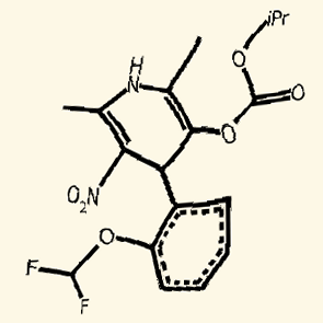 CC1=C(OC(=O)OC(C)C)C(c2ccccc2OC(F)F)C([N+](=O)[O-])=C(C)N1